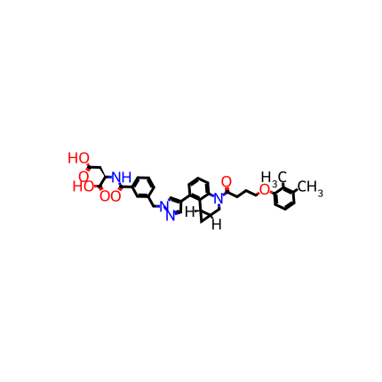 Cc1cccc(OCCCC(=O)N2C[C@@H]3C[C@@H]3c3c(-c4cnn(Cc5cccc(C(=O)N[C@H](CC(=O)O)C(=O)O)c5)c4)cccc32)c1C